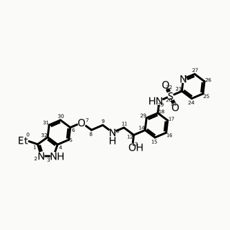 CCc1n[nH]c2cc(OCCNCC(O)c3cccc(NS(=O)(=O)c4ccccn4)c3)ccc12